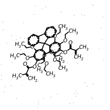 C=C(C)C(=O)Oc1c(OCC)c(OCC)c(C2(c3c(OCC)c(OCC)c(OC(=O)C(=C)C)c(OCC)c3OCC)c3ccccc3-c3ccccc32)c(OCC)c1OCC